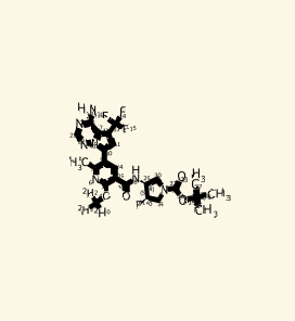 [2H]C([2H])([2H])Oc1nc(C)c(-c2cc(C(F)(F)F)c3c(N)ncnn23)cc1C(=O)N[C@@H]1CN(C(=O)OC(C)(C)C)C[C@@H]1F